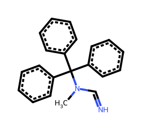 CN(C=N)C(c1ccccc1)(c1ccccc1)c1ccccc1